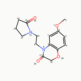 COc1ccc2c(c1)N(CCN1CCCC1=O)C(=O)CO2